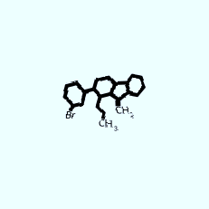 C=C1C2CCCCC2C2CCC(C3CCCC(Br)C3)C(CCC)C12